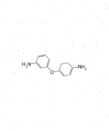 NC1=CC=C(Oc2cccc(N)c2)CC1